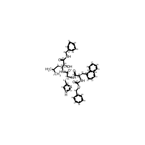 CC(C)C[C@H](NC(=O)[C@@H](Cc1c[nH]cn1)NC(=O)[C@@H](Cc1cccc2ccccc12)NC(=O)OCc1ccccc1)[C@H](O)C(=O)NCc1ccccc1